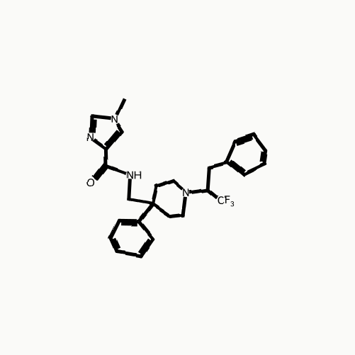 Cn1cnc(C(=O)NCC2(c3ccccc3)CCN(C(Cc3ccccc3)C(F)(F)F)CC2)c1